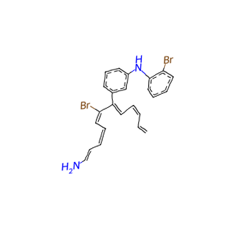 C=C\C=C/C=C(/C(Br)=C\C=C/C=C/N)c1cccc(Nc2ccccc2Br)c1